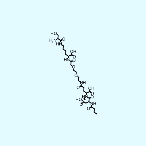 CCCC(=O)NC(CS(=O)(=O)O)C(=O)NC(CCC(=O)NCCOCCOCC(=O)NC(CCCCNC(=O)C(N)CO)C(=O)O)C(=O)O